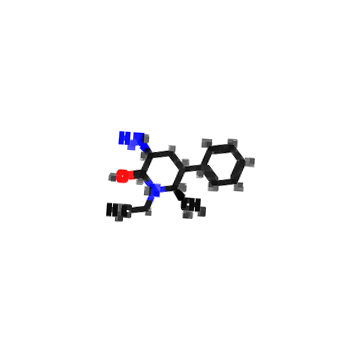 CCN1C(=O)[C@@H](N)CC(c2ccccc2)[C@H]1C